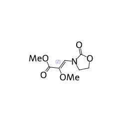 COC(=O)/C(=C/N1CCOC1=O)OC